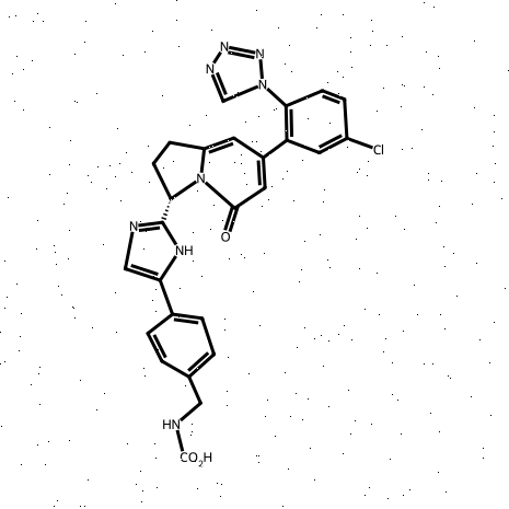 O=C(O)NCc1ccc(-c2cnc([C@@H]3CCc4cc(-c5cc(Cl)ccc5-n5cnnn5)cc(=O)n43)[nH]2)cc1